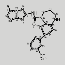 Cc1csc2nc(NC(=O)N3CCCNc4ccc(-c5cccc(C(F)(F)F)c5)nc43)nn12